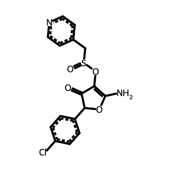 NC1=C(OS(=O)Cc2ccncc2)C(=O)C(c2ccc(Cl)cc2)O1